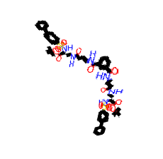 CC(C)(C)OC(=O)[C@@H](CCNC(=O)CCCNC(=O)c1cccc(C(=O)NCCCC(=O)NCC[C@@H](NS(=O)(=O)c2ccc(-c3ccccc3)cc2)C(=O)OC(C)(C)C)c1)NS(=O)(=O)c1ccc(-c2ccccc2)cc1